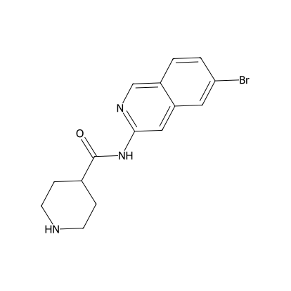 O=C(Nc1cc2cc(Br)ccc2cn1)C1CCNCC1